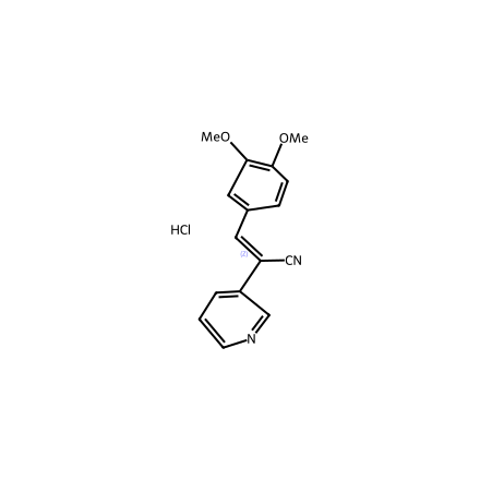 COc1ccc(/C=C(\C#N)c2cccnc2)cc1OC.Cl